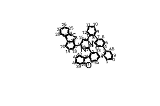 c1ccc(-c2ccc(-c3ccccc3-c3cc(-c4cccc5c4sc4ccccc45)nc(-c4cccc5oc6ccccc6c45)n3)cc2)cc1